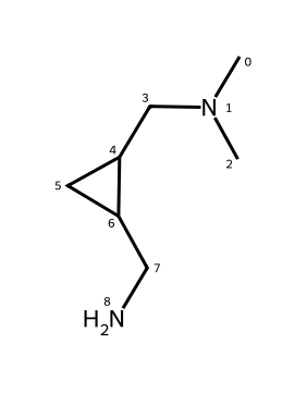 CN(C)CC1CC1CN